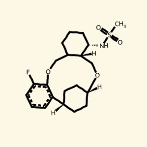 CS(=O)(=O)N[C@H]1CCCC2COc3c(F)cccc3[C@H]3CC[C@H](CC3)OC[C@H]21